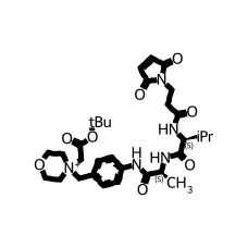 CC(C)[C@H](NC(=O)CCN1C(=O)C=CC1=O)C(=O)N[C@@H](C)C(=O)Nc1ccc(C[N+]2(CC(=O)OC(C)(C)C)CCOCC2)cc1